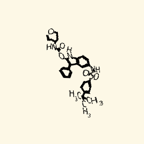 CC(C)(C)c1ccc(S(=O)(=O)Nc2ccc3[nH]c(OC(=O)NC4CCOCC4)c(-c4ccccc4)c3c2)cc1